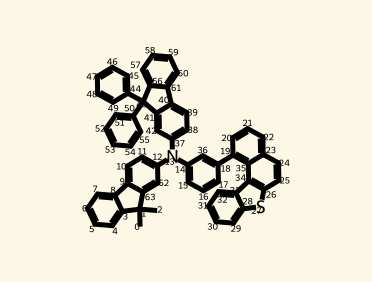 CC1(C)c2ccccc2-c2ccc(N(c3cccc(-c4cccc5ccc6sc7ccccc7c6c45)c3)c3ccc4c(c3)C(c3ccccc3)(c3ccccc3)c3ccccc3-4)cc21